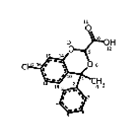 CC1(c2ccccc2)OC(C(=O)O)Oc2cc(Cl)ccc21